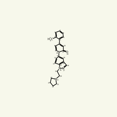 Cc1ccccc1-c1ccn(-c2ccc3c(cnn3CCN3CCCC3)c2)c(=O)c1